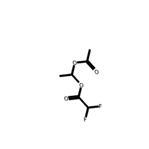 CC(=O)OC(C)OC(=O)C(F)F